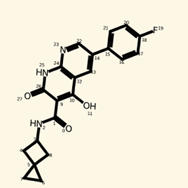 O=C(NC1CC2(CC2)C1)c1c(O)c2cc(-c3ccc(F)cc3)cnc2[nH]c1=O